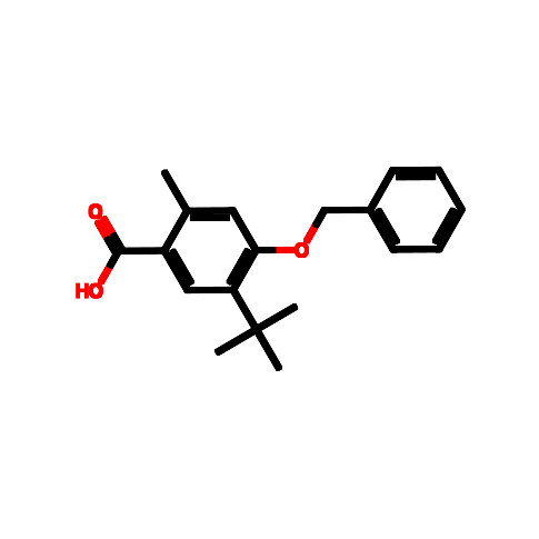 Cc1cc(OCc2ccccc2)c(C(C)(C)C)cc1C(=O)O